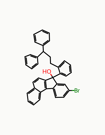 OC1(c2ccccc2CCC(c2ccccc2)c2ccccc2)c2cc(Br)ccc2-c2c1ccc1ccccc21